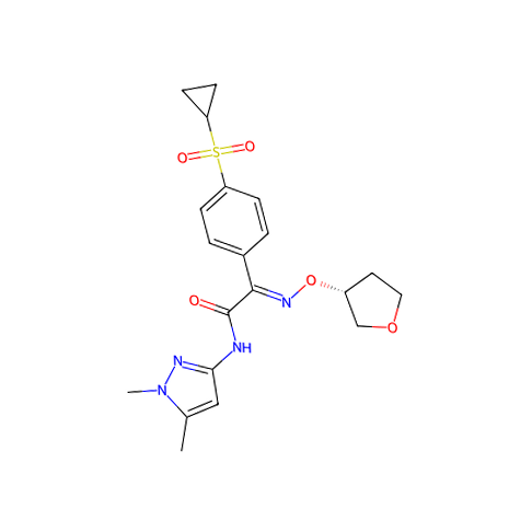 Cc1cc(NC(=O)/C(=N/O[C@@H]2CCOC2)c2ccc(S(=O)(=O)C3CC3)cc2)nn1C